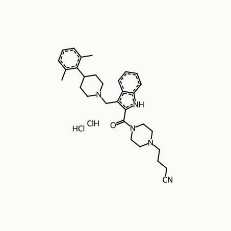 Cc1cccc(C)c1C1CCN(Cc2c(C(=O)N3CCN(CCCC#N)CC3)[nH]c3ccccc23)CC1.Cl.Cl